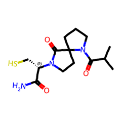 CC(C)C(=O)N1CCCC12CCN([C@@H](CS)C(N)=O)C2=O